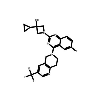 OC1(C2CC2)CN(c2nc(N3CCc4ncc(C(F)(F)F)cc4C3)c3cc(F)ccc3n2)C1